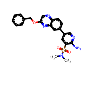 CN(C)S(=O)(=O)c1cc(-c2ccc3ncc(OCc4ccccc4)nc3c2)cnc1N